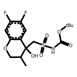 CC1COc2cc(F)c(F)cc2C1(O)CS(=O)(=O)NC(=O)OC(C)(C)C